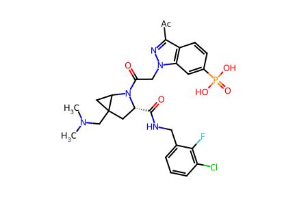 CC(=O)c1nn(CC(=O)N2C3CC3(CN(C)C)C[C@H]2C(=O)NCc2cccc(Cl)c2F)c2cc(P(=O)(O)O)ccc12